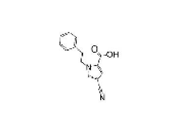 N#Cc1cc(C(=O)O)n(CCc2ccccc2)c1